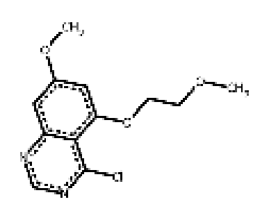 COCCOc1cc(OC)cc2ncnc(Cl)c12